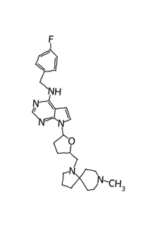 CN1CCC2(CCCN2CC2CCC(n3ccc4c(NCc5ccc(F)cc5)ncnc43)O2)CC1